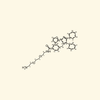 NCCOCCOCCNC(=O)c1ccc(Cn2c(-c3ccco3)nc(-c3ccccc3)c2-c2ccccc2)cc1